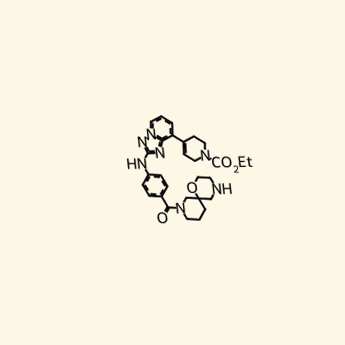 CCOC(=O)N1CC=C(c2cccn3nc(Nc4ccc(C(=O)N5CCCC6(CNCCO6)C5)cc4)nc23)CC1